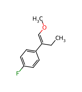 CCC(=COC)c1ccc(F)cc1